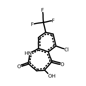 O=c1cc(O)c(=O)c2c(Cl)cc(C(F)(F)F)cc2[nH]1